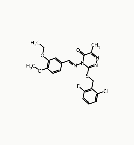 CCOc1cc(C=Nn2c(SCc3c(F)cccc3Cl)nnc(C)c2=O)ccc1OC